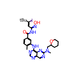 Cc1ccc(C(=O)NC(/C=C(\I)C(C)(C)C)=N/O)cc1Nc1ncnc2cnc(N(C)CC3CCCCO3)nc12